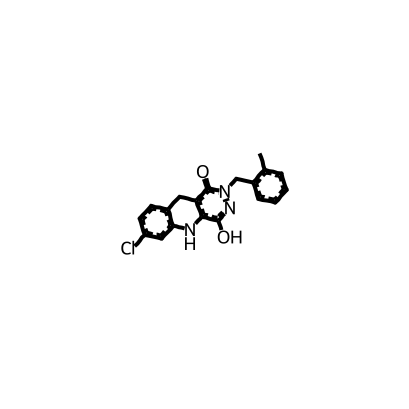 Cc1ccccc1Cn1nc(O)c2c(c1=O)Cc1ccc(Cl)cc1N2